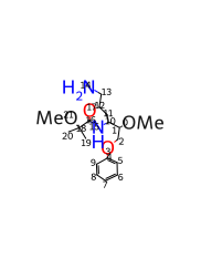 COC(COc1ccccc1)[C@H](CCCN)NC(=O)C(C)(C)OC